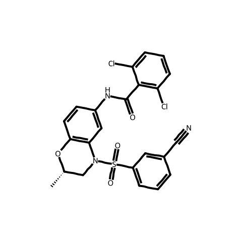 C[C@H]1CN(S(=O)(=O)c2cccc(C#N)c2)c2cc(NC(=O)c3c(Cl)cccc3Cl)ccc2O1